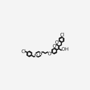 O=c1oc2cc(OCCCN3CCN(Cc4ccc(Cl)cc4)CC3)ccc2c(CO)c1Cc1ccc(Cl)cc1